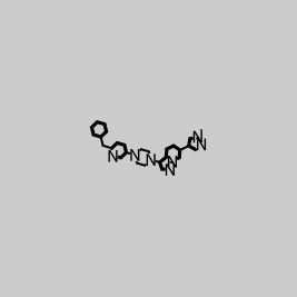 Cn1cc(-c2ccc3c(N4CCN(c5ccc(Cc6ccccc6)nc5)CC4)cnn3c2)cn1